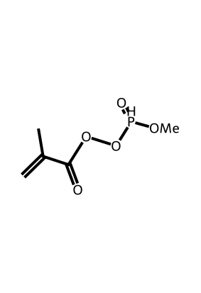 C=C(C)C(=O)OO[PH](=O)OC